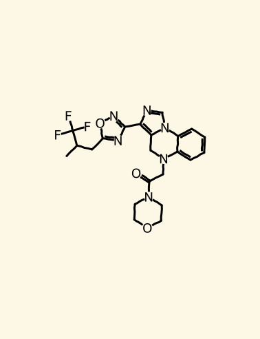 CC(Cc1nc(-c2ncn3c2CN(CC(=O)N2CCOCC2)c2ccccc2-3)no1)C(F)(F)F